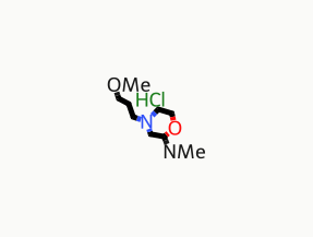 CNC1CN(CCCOC)CCO1.Cl